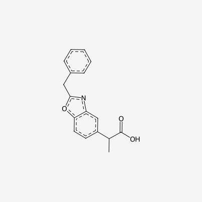 CC(C(=O)O)c1ccc2oc(Cc3ccccc3)nc2c1